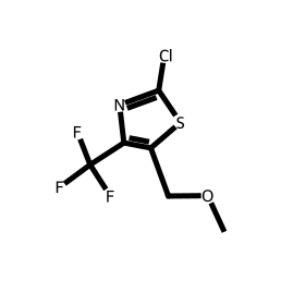 COCc1sc(Cl)nc1C(F)(F)F